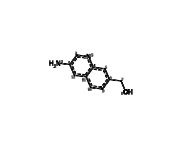 Nc1cnc2cc(CO)ccc2c1